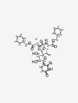 C=C[C@]1(COP(=O)(N[C@@H](C)C(=O)OCc2ccccc2)N[C@@H](C)C(=O)OCc2ccccc2)O[C@@H](n2ccc(=O)[nH]c2=O)[C@H](O)[C@@H]1O